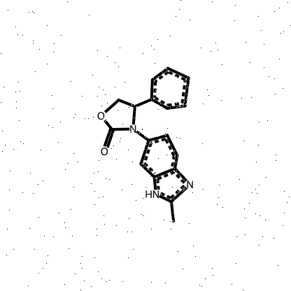 Cc1nc2ccc(N3C(=O)OCC3c3ccccc3)cc2[nH]1